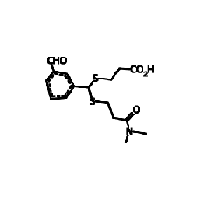 CN(C)C(=O)CCSC(SCCC(=O)O)c1cccc(C=O)c1